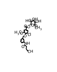 C#CCCC(=O)Nc1cccc(COc2c(Cl)cc(C(=O)OC[C@H]3O[C@@H](OC)[C@H](O)[C@@H](O)[C@@H]3O)cc2OC)c1